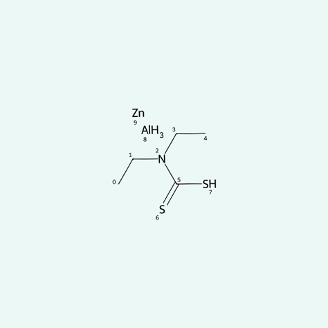 CCN(CC)C(=S)S.[AlH3].[Zn]